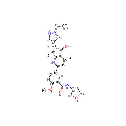 CCOc1ncc(-c2cc(C)c3c(n2)C(C)(C)N(c2cnn(CC(F)(F)F)c2)C3=O)cc1C(=O)N[C@H]1CCOC1